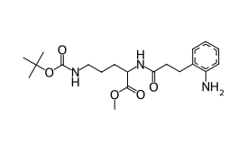 COC(=O)C(CCCNC(=O)OC(C)(C)C)NC(=O)CCc1ccccc1N